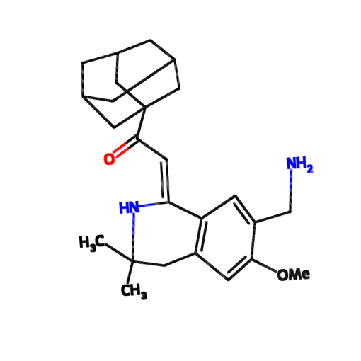 COc1cc2c(cc1CN)C(=CC(=O)C13CC4CC(CC(C4)C1)C3)NC(C)(C)C2